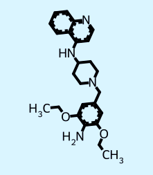 CCOc1cc(CN2CCC(Nc3ccnc4ccccc34)CC2)cc(OCC)c1N